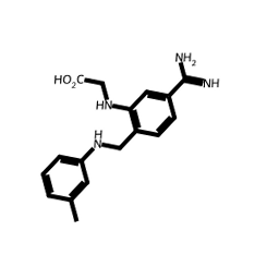 Cc1cccc(NCc2ccc(C(=N)N)cc2NCC(=O)O)c1